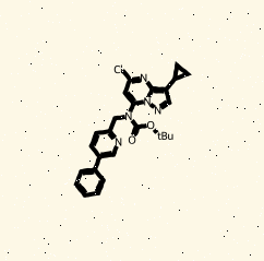 CC(C)(C)OC(=O)N(Cc1ccc(-c2ccccc2)cn1)c1cc(Cl)nc2c(C3CC3)cnn12